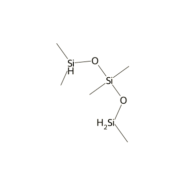 C[SiH2]O[Si](C)(C)O[SiH](C)C